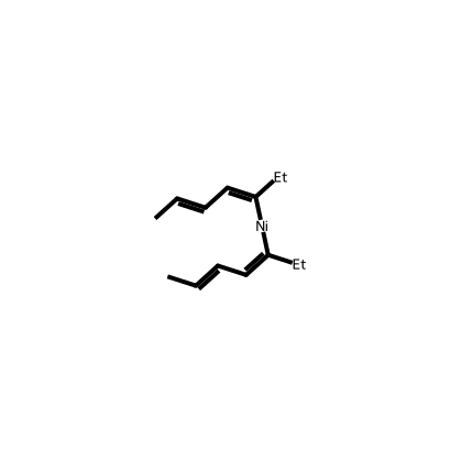 CC=CC=[C](CC)[Ni][C](=CC=CC)CC